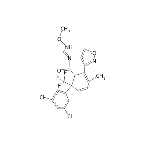 CONC=NC(=O)C1C(c2ccon2)=C(C)C=CC1(c1cc(Cl)cc(Cl)c1)C(F)(F)F